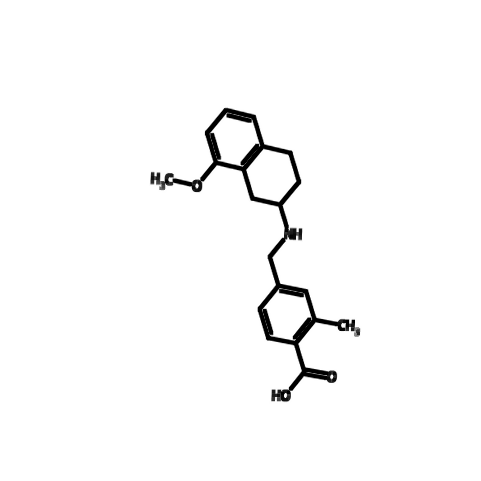 COc1cccc2c1CC(NCc1ccc(C(=O)O)c(C)c1)CC2